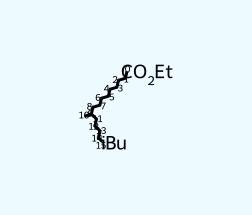 CCOC(=O)CCCCCCCCC(C)CCCCC(C)CC